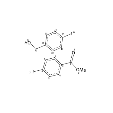 COC(=O)c1ccc(I)cc1.OCc1ccc(I)cc1